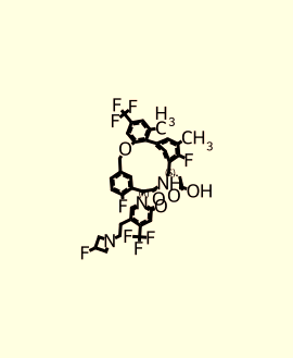 Cc1cc2cc(c1F)[C@H](CC(=O)O)NC(=O)[C@H](n1cc(CCN3CC(F)C3)c(C(F)(F)F)cc1=O)c1cc(ccc1F)COc1cc(C(F)(F)F)cc(C)c1-2